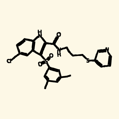 Cc1cc(C)cc(S(=O)(=O)c2c(C(=O)NCCCSc3cccnc3)[nH]c3ccc(Cl)cc23)c1